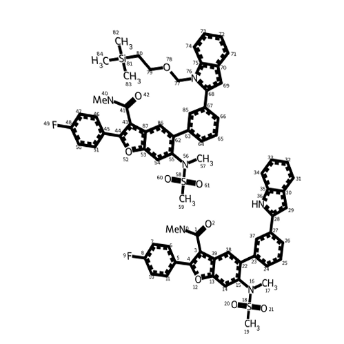 CNC(=O)c1c(-c2ccc(F)cc2)oc2cc(N(C)S(C)(=O)=O)c(-c3cccc(-c4cc5ccccc5[nH]4)c3)cc12.CNC(=O)c1c(-c2ccc(F)cc2)oc2cc(N(C)S(C)(=O)=O)c(-c3cccc(-c4cc5ccccc5n4COCC[Si](C)(C)C)c3)cc12